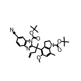 C=CCC(C)(c1c(OC)cc(C)c2c1CCN2C(=O)OC(C)(C)C)c1nc2ccc(C#N)cc2n1C(=O)OC(C)(C)C